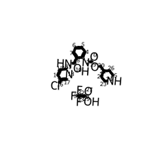 O=C(Nc1ccccc1C(=O)Nc1ccc(Cl)cn1)OCC1CCNCC1.O=C(O)C(F)(F)F